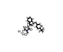 CC(=N)/C(=C\O)C(=O)Nc1nn(Cc2ccc(C(F)(F)F)nc2)c2ccccc12